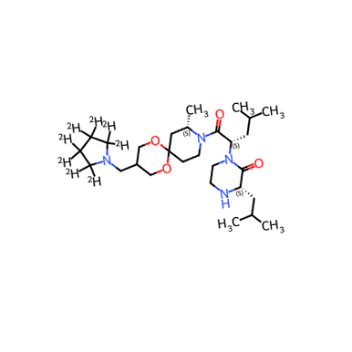 [2H]C1([2H])N(CC2COC3(CCN(C(=O)[C@H](CC(C)C)N4CCN[C@@H](CC(C)C)C4=O)[C@@H](C)C3)OC2)C([2H])([2H])C([2H])([2H])C1([2H])[2H]